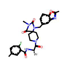 Cc1ccc(F)c(C(=O)N[C@@H](C(=O)N2CCC3(CC2)C(=O)N(C)C(=O)N3Cc2ccc3oc(C)nc3c2)C(C)C)c1